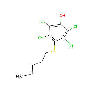 CC=CCCSc1c(Cl)c(Cl)c(O)c(Cl)c1Cl